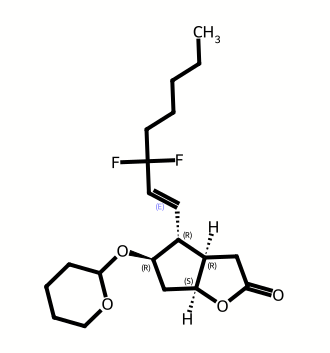 CCCCCC(F)(F)/C=C/[C@@H]1[C@H]2CC(=O)O[C@H]2C[C@H]1OC1CCCCO1